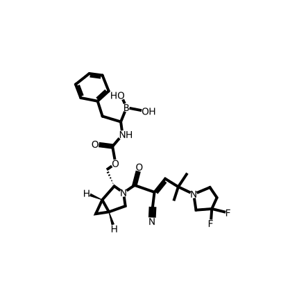 CC(C)(C=C(C#N)C(=O)N1C[C@@H]2C[C@@H]2[C@@H]1COC(=O)NC(Cc1ccccc1)B(O)O)N1CCC(F)(F)C1